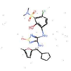 Cc1ccc([C@H](Nc2n[s+]([O-])nc2Nc2ccc(Cl)c(S(=O)(=O)N(C)C)c2O)C2CCCC2)o1